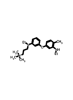 CCNc1cc(Oc2cccc(N(CC)CCC[N+](C)(C)C)c2)ccc1C